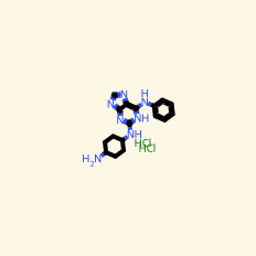 Cl.Cl.NC1CCC(Nc2nc3ncnc-3c(Nc3ccccc3)[nH]2)CC1